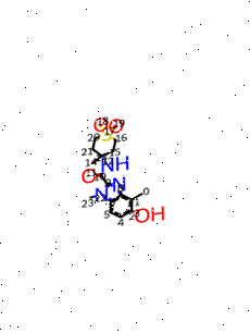 Cc1c(O)ccc2c1nc(C(=O)NC1(C)CCS(=O)(=O)CC1)n2C